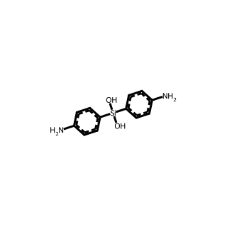 Nc1ccc([Si](O)(O)c2ccc(N)cc2)cc1